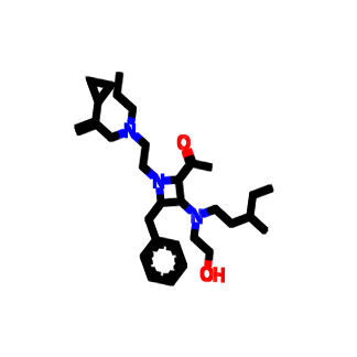 C=C(CN(CCC)CCN1C(Cc2ccccc2)C(N(CCO)CCC(C)CC)C1C(C)=O)C1CC1